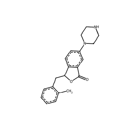 Cc1ccccc1CC1OC(=O)c2cc(N3CCNCC3)ccc21